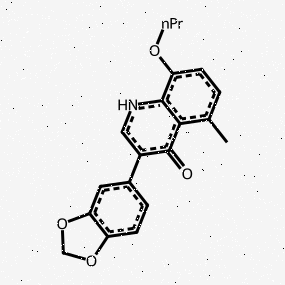 CCCOc1ccc(C)c2c(=O)c(-c3ccc4c(c3)OCO4)c[nH]c12